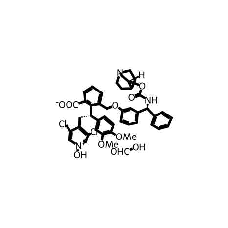 COc1ccc([C@H](Cc2c(Cl)c[n+](O)cc2Cl)c2c(COc3cccc([C@@H](NC(=O)O[C@H]4CN5CCC4CC5)c4ccccc4)c3)cccc2C(=O)[O-])cc1OC.O=CO